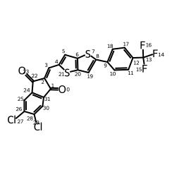 O=C1C(=Cc2cc3sc(-c4ccc(C(F)(F)F)cc4)cc3s2)C(=O)c2cc(Cl)c(Cl)cc21